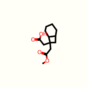 COC(=O)CC1(CC(=O)O)CC2CCCCC21